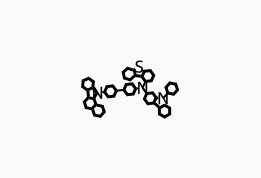 c1ccc(-n2c3ccccc3c3ccc(N(c4ccc(-c5ccc(-n6c7ccccc7c7ccc8ccccc8c76)cc5)cc4)c4cccc5sc6ccccc6c45)cc32)cc1